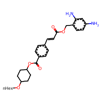 CCCCCCOC1CCC(OC(=O)c2ccc(/C=C/C(=O)OCc3ccc(N)cc3N)cc2)CC1